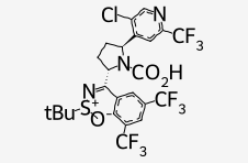 CC(C)(C)[S+]([O-])/N=C(\c1cc(C(F)(F)F)cc(C(F)(F)F)c1)[C@@H]1CC[C@@H](c2cc(C(F)(F)F)ncc2Cl)N1C(=O)O